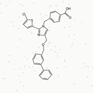 O=C(O)c1ccc(Cn2cc(COCc3cccc(-c4ccccc4)c3)nc2-c2ccc(Cl)s2)cc1